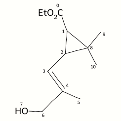 CCOC(=O)C1C(/C=C(\C)CO)C1(C)C